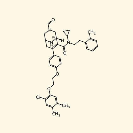 Cc1cc(Cl)c(OCCOc2ccc(C3=C(C(=O)N(CCc4ccccc4C)C4CC4)[C@H]4CN(C=O)CC(C3)N4)cc2)cc1C